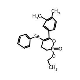 CCOP1(=O)CCC([Se]c2ccccc2)=C(c2ccc(C)c(C)c2)O1